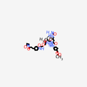 CC(=O)OCc1ccc(NC(=O)[C@H](CCCNC(N)=O)NC(=O)C(NC(=O)COCC(=O)Nc2ccc(CCC(=O)N3CCC3=O)cc2)C(C)C)cc1